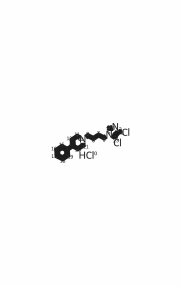 Cl.Clc1ncn(CCCCN2CC=C(c3ccccc3)CC2)c1Cl